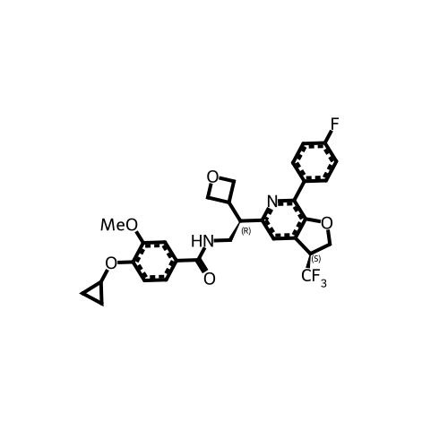 COc1cc(C(=O)NC[C@H](c2cc3c(c(-c4ccc(F)cc4)n2)OC[C@H]3C(F)(F)F)C2COC2)ccc1OC1CC1